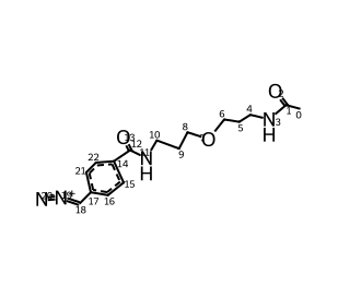 CC(=O)NCCCOCCCNC(=O)c1ccc(C=[N+]=[N-])cc1